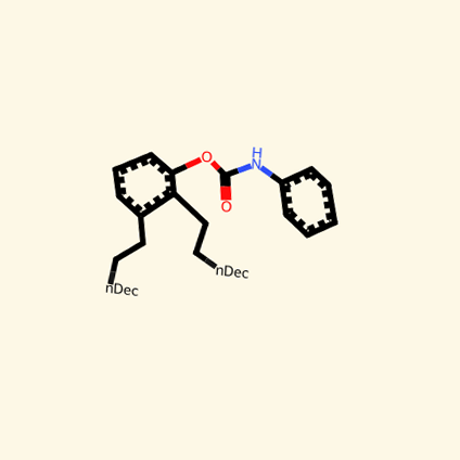 CCCCCCCCCCCCc1cccc(OC(=O)Nc2ccccc2)c1CCCCCCCCCCCC